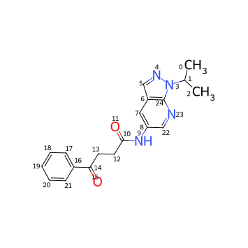 CC(C)n1ncc2cc(NC(=O)CCC(=O)c3ccccc3)cnc21